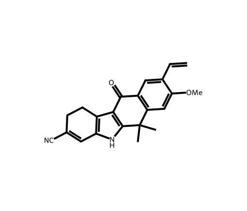 C=Cc1cc2c(cc1OC)C(C)(C)c1[nH]c3c(c1C2=O)CCC(C#N)=C3